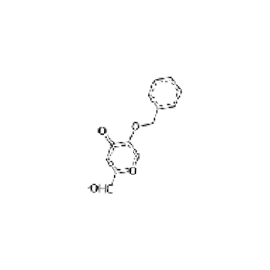 O=[C]c1cc(=O)c(OCc2ccccc2)co1